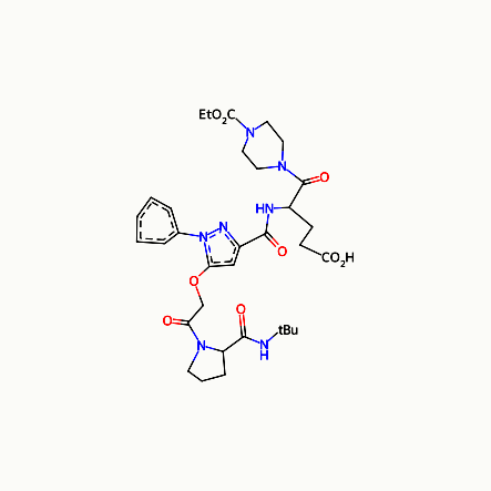 CCOC(=O)N1CCN(C(=O)C(CCC(=O)O)NC(=O)c2cc(OCC(=O)N3CCCC3C(=O)NC(C)(C)C)n(-c3ccccc3)n2)CC1